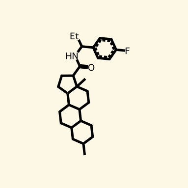 CCC(NC(=O)C1CCC2C3CCC4CC(C)CCC4C3CCC12C)c1ccc(F)cc1